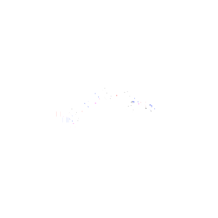 O=C(N[C@@H](c1ccccc1)c1cccc(OCc2ccc(C(=O)N(CCCNCC(O)c3ccc(O)c4[nH]c(=O)ccc34)CC3CC3)cc2)c1)OC1CN2CCC1CC2